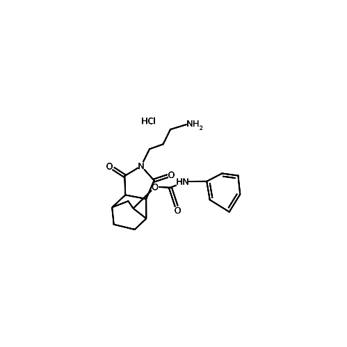 Cl.NCCCN1C(=O)C2C3CCC(C(OC(=O)Nc4ccccc4)C3)C2C1=O